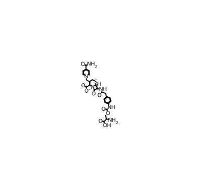 NC(=O)c1cc[n+](CC2=C(C(=O)[O-])N3C(=O)[C@@H](NC(=O)Cc4ccc(NC(=O)OC[C@@H](N)C(=O)O)cc4)[C@@H]3SC2)cc1